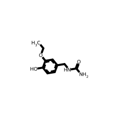 CCOc1cc(CNC(N)=O)ccc1O